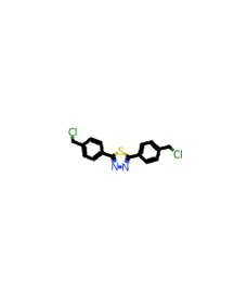 ClCc1ccc(-c2nnc(-c3ccc(CCl)cc3)s2)cc1